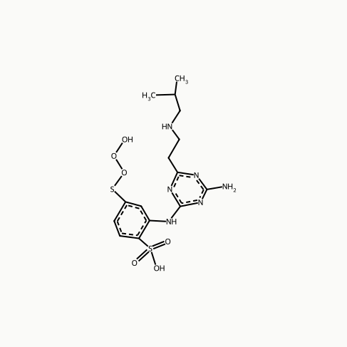 CC(C)CNCCc1nc(N)nc(Nc2cc(SOOO)ccc2S(=O)(=O)O)n1